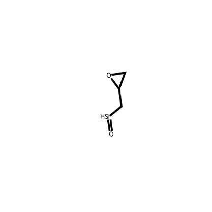 O=[SiH]CC1CO1